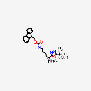 CC(=O)N[C@@H](CCCCNC(=O)OCC1c2ccccc2-c2ccccc21)c1nnc(C(C)(C)C(=O)O)o1